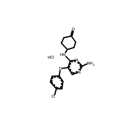 Cl.Nc1ncc(Oc2ccc(Cl)cc2)c(NC2CCC(=O)CC2)n1